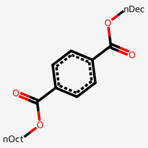 CCCCCCCCCCOC(=O)c1ccc(C(=O)OCCCCCCCC)cc1